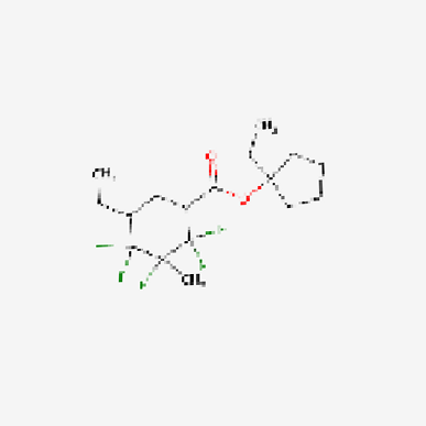 CCC1CC(C(=O)OC2(CC)CCCC2)C(F)(F)C(C)(F)C1(F)F